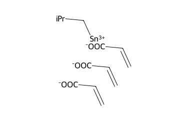 C=CC(=O)[O-].C=CC(=O)[O-].C=CC(=O)[O-].CC(C)[CH2][Sn+3]